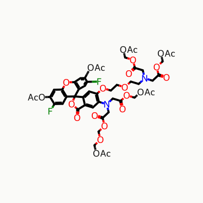 CC(=O)OCOCOC(=O)CN(CC(=O)OCOC(C)=O)c1cc2c(cc1OCCOCCN(CC(=O)OCOC(C)=O)CC(=O)OCOC(C)=O)C1(OC2=O)c2cc(F)c(OC(C)=O)cc2Oc2cc(OC(C)=O)c(F)cc21